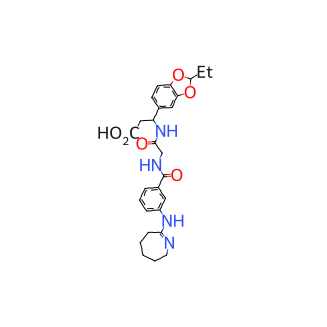 CCC1Oc2ccc(C(CC(=O)O)NC(=O)CNC(=O)c3cccc(NC4=NCCCCC4)c3)cc2O1